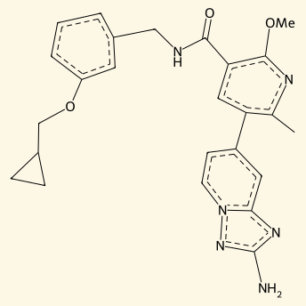 COc1nc(C)c(-c2ccn3nc(N)nc3c2)cc1C(=O)NCc1cccc(OCC2CC2)c1